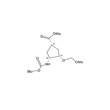 COCO[C@H]1C[C@@H](C(=O)OC)C[C@H]1NC(=O)OC(C)(C)C